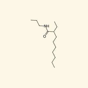 CCCCCCCC(CC)C(=O)NCCC